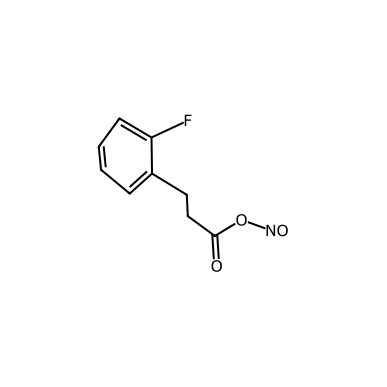 O=NOC(=O)CCc1ccccc1F